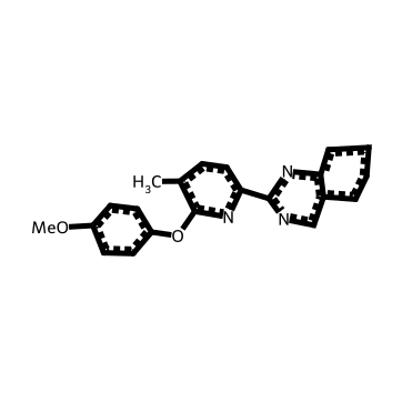 COc1ccc(Oc2nc(-c3ncc4ccccc4n3)ccc2C)cc1